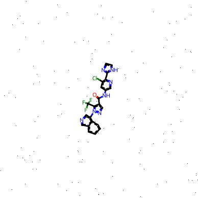 O=C(Nc1cnc(-c2ncc[nH]2)c(Cl)c1)c1cnn(-c2cncc3ccccc23)c1C(F)(F)F